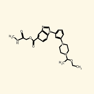 CCOC(C)N1CCN(c2cccc(-n3cnc4cc(C(=O)OCC(=O)NC)ccc43)c2)CC1